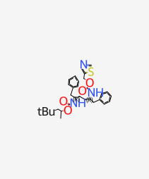 CC(CC(C)(C)C)OC(=O)N[C@H](CC[C@H](Cc1ccccc1)NC(=O)OCc1cncs1)Cc1ccccc1